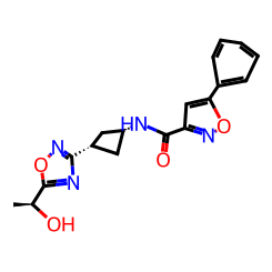 C[C@H](O)c1nc([C@H]2C[C@@H](NC(=O)c3cc(-c4ccccc4)on3)C2)no1